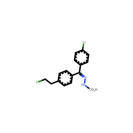 O=C(O)NN=C(c1ccc(Cl)cc1)c1ccc(CCCl)cc1